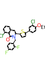 CCOc1ccc(-c2ccc(-c3cc4cccc(Cl)c4c(=O)n3Cc3ccc(F)cc3F)s2)cc1Cl